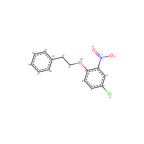 O=[N+]([O-])c1cc(Cl)ccc1OCCc1ccccc1